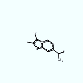 Cc1nc2cc(C(F)C(F)(F)F)ncn2c1Br